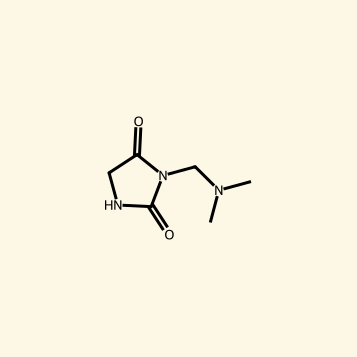 CN(C)CN1C(=O)CNC1=O